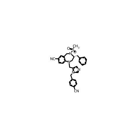 CS(=O)(=O)N1Cc2cc(C#N)ccc2N(Cc2cncn2Cc2ccc(C#N)cc2)C[C@H]1Cc1ccccc1